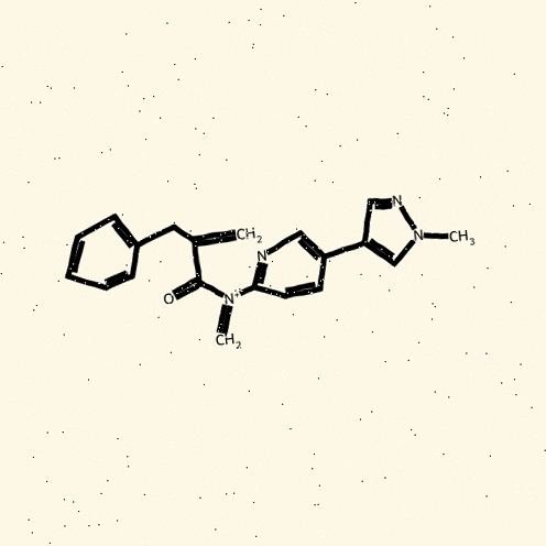 C=C(Cc1ccccc1)C(=O)[N+](=C)c1ccc(-c2cnn(C)c2)cn1